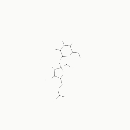 CC(C)OCC1O[C@@](CO)(OC2OC(CO)C(O)C(O)C2O)[C@H](O)C1O